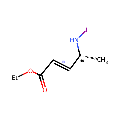 CCOC(=O)/C=C/[C@@H](C)NI